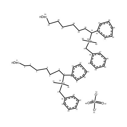 CCCCCCCCCCCCCCCCC(c1ccccc1)[N+](C)(C)Cc1ccccc1.CCCCCCCCCCCCCCCCC(c1ccccc1)[N+](C)(C)Cc1ccccc1.O=S(=O)([O-])[O-]